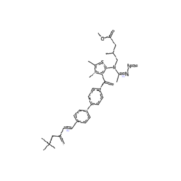 C=N/N=C(/C)N(CC(C)CC(=C)OC)c1sc(C)c(C)c1C(=C)c1ccc(-c2ccc(/C=C/C(=C)CC(C)(C)C)cc2)cc1